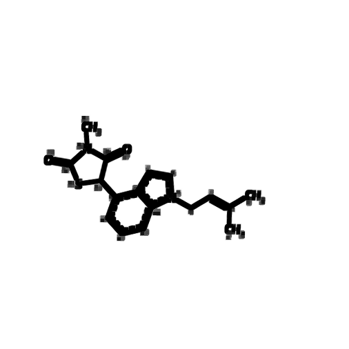 CC(C)=CCn1ccc2c(C3SC(=O)N(C)C3=O)cccc21